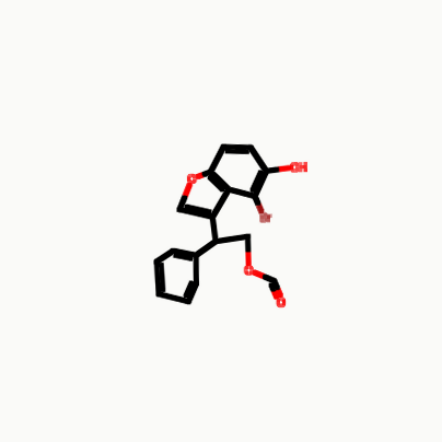 O=COCC(c1ccccc1)c1coc2ccc(O)c(Br)c12